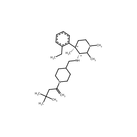 C=C(CC(C)(C)C)N1CCC(CN[C@H]2C(C)N(C)CC[C@]2(C)c2ccccc2CC)CC1